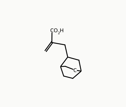 C=C(CC1CC2CCC1CC2)C(=O)O